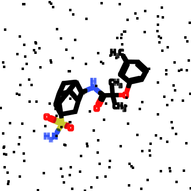 Cc1cccc(OC(C)(C)C(=O)NC2C3CC4CC2CC(S(N)(=O)=O)(C4)C3)c1